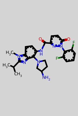 CC(C)c1nc2c(N3CCC(N)C3)c(NC(=O)c3ccc(=O)n(-c4c(F)cccc4F)n3)ccc2n1C